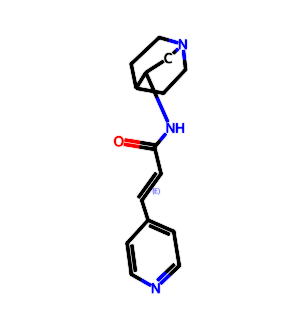 O=C(/C=C/c1ccncc1)NC1CN2CCC1CC2